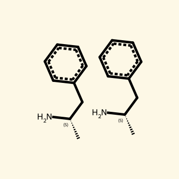 C[C@H](N)Cc1ccccc1.C[C@H](N)Cc1ccccc1